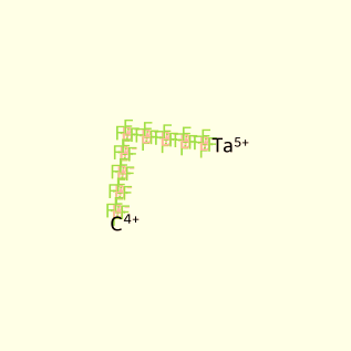 F[B-](F)(F)F.F[B-](F)(F)F.F[B-](F)(F)F.F[B-](F)(F)F.F[B-](F)(F)F.F[B-](F)(F)F.F[B-](F)(F)F.F[B-](F)(F)F.F[B-](F)(F)F.[C+4].[Ta+5]